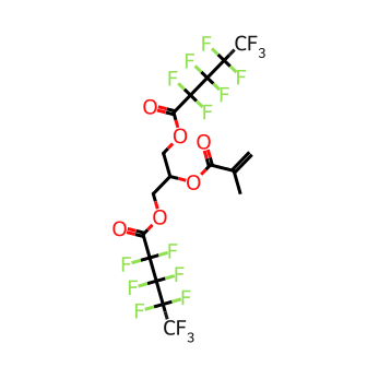 C=C(C)C(=O)OC(COC(=O)C(F)(F)C(F)(F)C(F)(F)C(F)(F)F)COC(=O)C(F)(F)C(F)(F)C(F)(F)C(F)(F)F